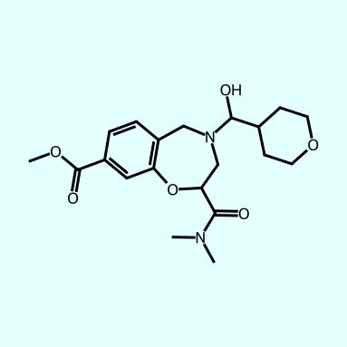 COC(=O)c1ccc2c(c1)OC(C(=O)N(C)C)CN(C(O)C1CCOCC1)C2